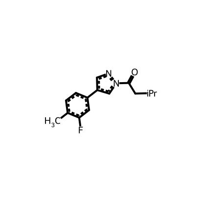 Cc1ccc(-c2cnn(C(=O)CC(C)C)c2)cc1F